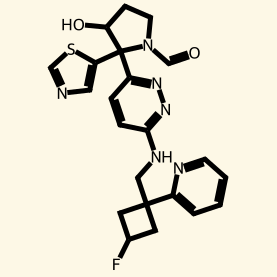 O=CN1CCC(O)C1(c1ccc(NCC2(c3ccccn3)CC(F)C2)nn1)c1cncs1